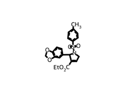 CCOC(=O)C1=CCN(S(=O)(=O)c2ccc(C)cc2)C1c1ccc2c(c1)OCO2